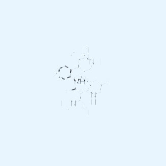 CC(N)C(C(=O)Nc1cnccc1C1CCNNC1C)C1NCC(F)CN1N=O